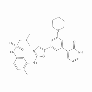 Cc1ccc(NS(=O)(=O)CC(C)C)cc1Nc1ncc(-c2cc(-c3ccc[nH]c3=O)cc(N3CCCCC3)c2)o1